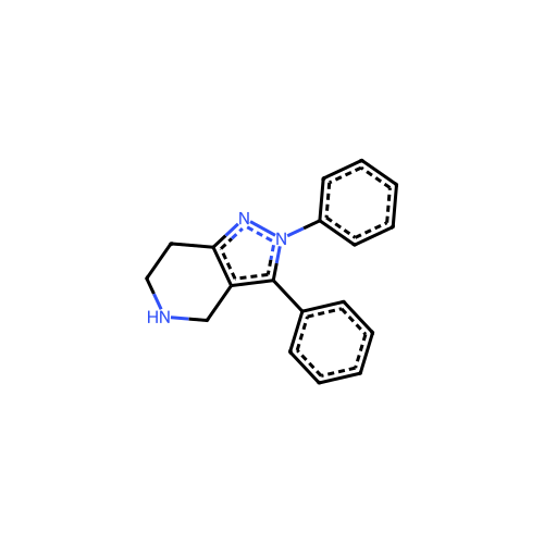 c1ccc(-c2c3c(nn2-c2ccccc2)CCNC3)cc1